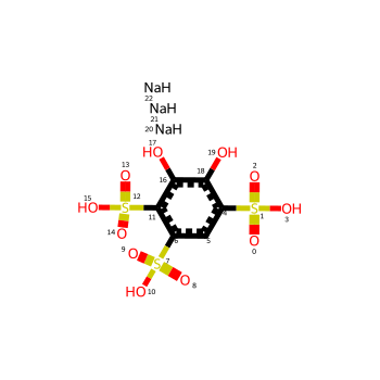 O=S(=O)(O)c1cc(S(=O)(=O)O)c(S(=O)(=O)O)c(O)c1O.[NaH].[NaH].[NaH]